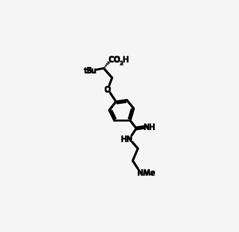 CNCCNC(=N)c1ccc(OC[C@@H](C(=O)O)C(C)(C)C)cc1